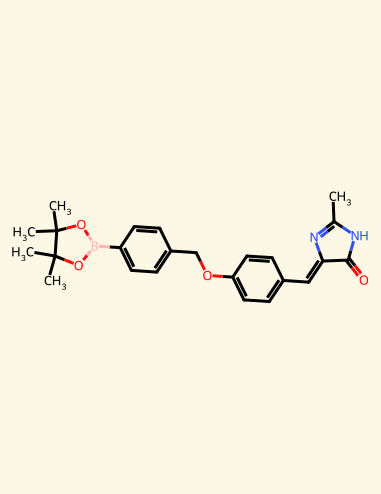 CC1=N/C(=C\c2ccc(OCc3ccc(B4OC(C)(C)C(C)(C)O4)cc3)cc2)C(=O)N1